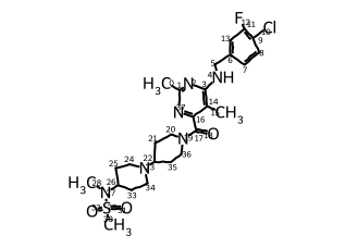 Cc1nc(NCc2ccc(Cl)c(F)c2)c(C)c(C(=O)N2CCC(N3CCC(N(C)S(C)(=O)=O)CC3)CC2)n1